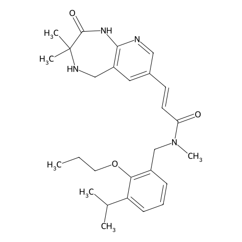 CCCOc1c(CN(C)C(=O)C=Cc2cnc3c(c2)CNC(C)(C)C(=O)N3)cccc1C(C)C